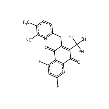 [2H]C([2H])([2H])C1=C(Cc2ccc(C(F)(F)F)c(C#N)n2)C(=O)c2c(F)cc(F)cc2C1=O